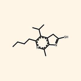 CCCCc1nc(C)c2c(c1C(C)C)CC(S)=N2